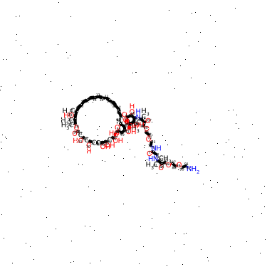 CC1O[C@@H](O[C@H]2/C=C/C=C/C=C/C=C/C=C/C=C/C=C/[C@H](C)[C@@H](O)[C@H](C)[C@@H](C)OC(=O)C[C@H](O)C[C@H](O)CC[C@@H](O)[C@H](O)C[C@H](O)C[C@]3(O)C[C@H](O)[C@@H](C(=O)O)[C@H](C2)O3)C(O)C(NC(C)(C)C(=O)COCCOCCNC(=O)CNC(C)(C)C(=O)COCCOCCN)[C@@H]1O